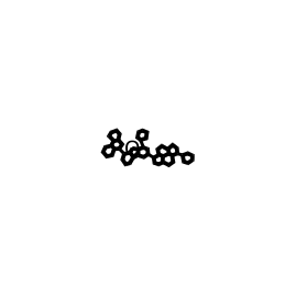 c1ccc(-c2ccc3ccc4c(-c5cc(-c6ccccc6)c6oc7c(-c8cc9ccccc9c9ccccc89)cccc7c6c5)ccc5ccc2c3c54)cc1